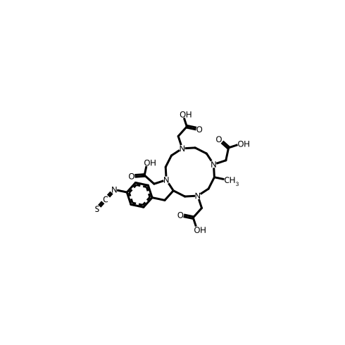 CC1CN(CC(=O)O)CC(Cc2ccc(N=C=S)cc2)N(CC(=O)O)CCN(CC(=O)O)CCN1CC(=O)O